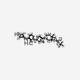 CC1(CNC(=O)OC(C)(C)C)CCN(c2cnc(Oc3cccc(NC4CNC4)c3Cl)cn2)CC1